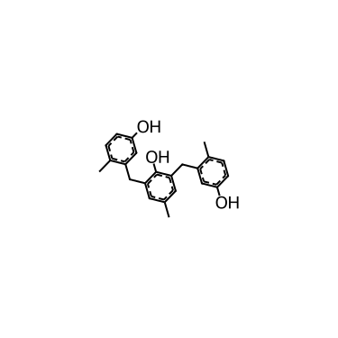 Cc1cc(Cc2cc(O)ccc2C)c(O)c(Cc2cc(O)ccc2C)c1